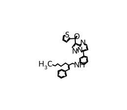 CCCCCC(=Cc1ccccc1)CNc1cccc(-c2ccnc3c(C(=O)c4cccs4)cnn23)c1